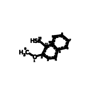 COc1ccc2ccccc2c1[SeH]